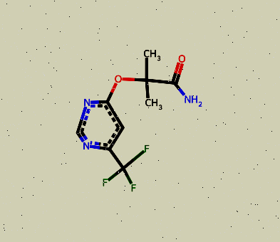 CC(C)(Oc1cc(C(F)(F)F)ncn1)C(N)=O